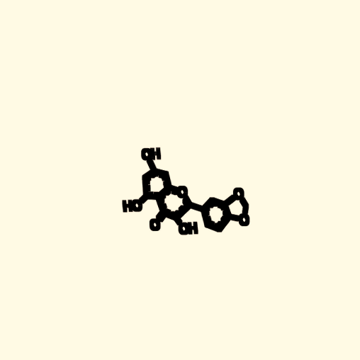 O=c1c(O)c(-c2ccc3c(c2)OCO3)oc2cc(O)cc(O)c12